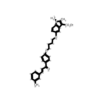 CCOC(=O)c1c(C)n(C)c2ccc(OCCCCOc3ccc(C(=O)C=Cc4cccc(C)c4)cc3)cc12